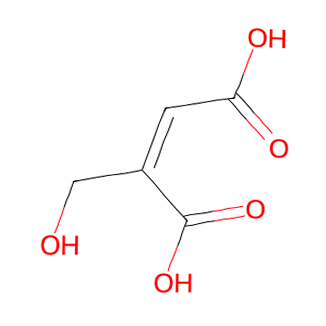 O=C(O)C=C(CO)C(=O)O